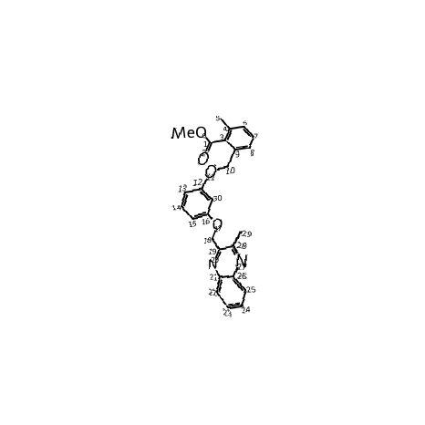 COC(=O)c1c(C)cccc1COc1cccc(OCc2nc3ccccc3nc2C)c1